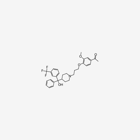 COc1cc(C(C)=O)ccc1OCCCN1CCC(C(O)(c2ccccc2)c2cccc(C(F)(F)F)c2)CC1